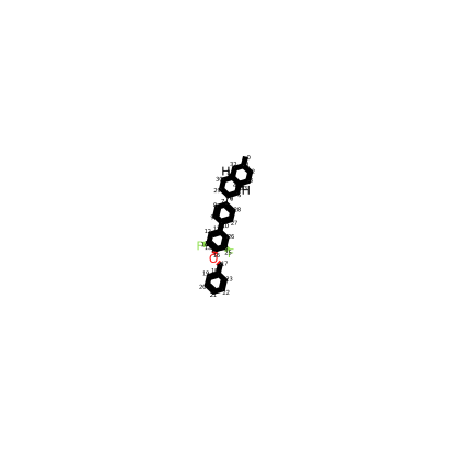 CC1CC[C@@H]2C[C@H](c3ccc(-c4cc(F)c(OCc5ccccc5)c(F)c4)cc3)CC[C@@H]2C1